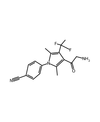 Cc1c(C(=O)CN)c(C(C)(F)F)c(C)n1-c1ccc(C#N)cc1